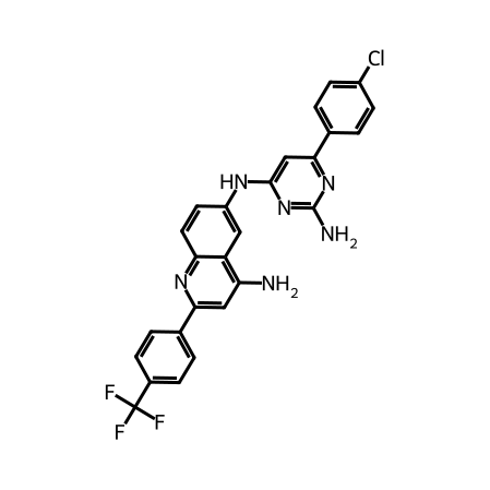 Nc1nc(Nc2ccc3nc(-c4ccc(C(F)(F)F)cc4)cc(N)c3c2)cc(-c2ccc(Cl)cc2)n1